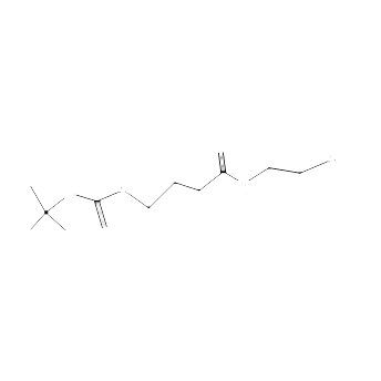 CC(C)(C)OC(=O)NCCCC(=O)NCCN